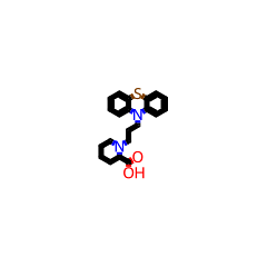 O=C(O)C1CCCCN1CCCN1c2ccccc2Sc2ccccc21